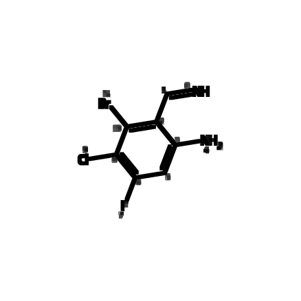 N=Cc1c(N)cc(F)c(Cl)c1Br